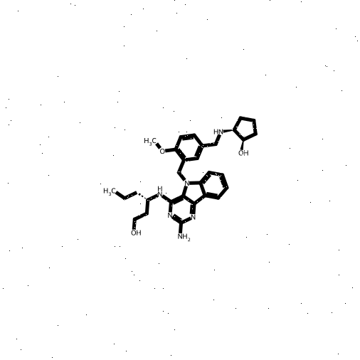 CCC[C@@H](CCO)Nc1nc(N)nc2c3ccccc3n(Cc3cc(CN[C@H]4CCC[C@H]4O)ccc3OC)c12